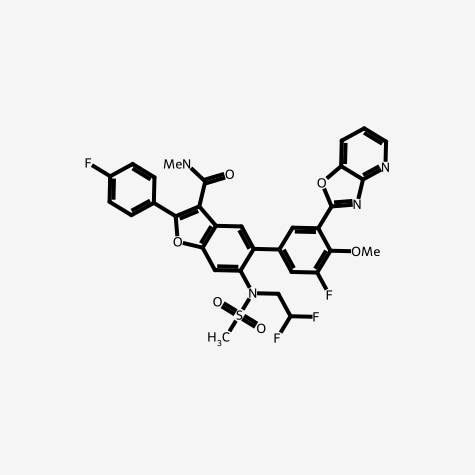 CNC(=O)c1c(-c2ccc(F)cc2)oc2cc(N(CC(F)F)S(C)(=O)=O)c(-c3cc(F)c(OC)c(-c4nc5ncccc5o4)c3)cc12